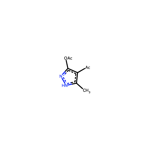 CC(=O)Oc1n[nH]c(C)c1C(C)=O